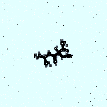 CC(C)C[C@](C)(C(=O)OC(C(F)(F)F)C(F)(F)F)C(C)C(F)(F)F